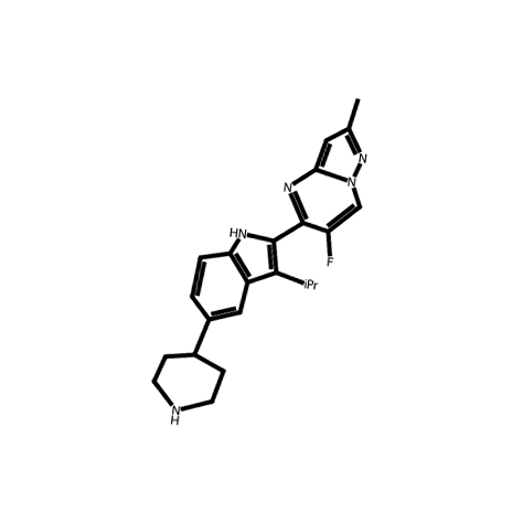 Cc1cc2nc(-c3[nH]c4ccc(C5CCNCC5)cc4c3C(C)C)c(F)cn2n1